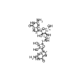 C[Si](C)(NC[C@H]1O[C@@H](n2cnc3c(=O)[nH]c(N)nc32)[C@H](O)[C@@H]1O)N[C@H]1[C@@H](O)[C@H](n2cnc3c(=O)[nH]c(N)nc32)O[C@@H]1CO